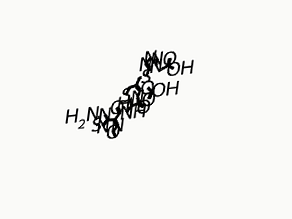 CON=C(C(=O)NC1C(=O)N2C(OC(=O)O)=C(CSc3nnnn3CC(=O)O)CS[C@@H]12)c1nsc(N)n1